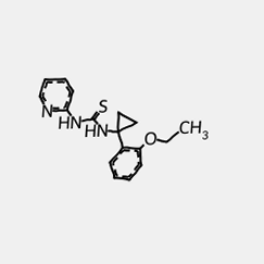 CCOc1ccccc1C1(NC(=S)Nc2ccccn2)CC1